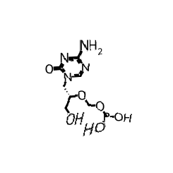 Nc1ncn(C[C@@H](CO)OCOP(O)O)c(=O)n1